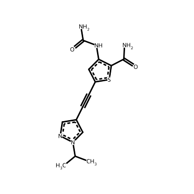 CC(C)n1cc(C#Cc2cc(NC(N)=O)c(C(N)=O)s2)cn1